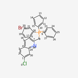 Clc1ccc2ccc(C[P+](c3ccccc3)(c3ccccc3)c3ccccc3)nc2c1.[Br-]